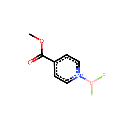 COC(=O)c1cc[n+](B(F)F)cc1